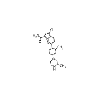 Cc1cc(N2CCNC(C)C2)ccc1-c1ccc2c(Cl)cc(C(N)=O)n2n1